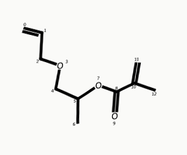 C=CCOCC(C)OC(=O)C(=C)C